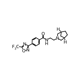 O=C(NCCN1C[C@@H]2CC[C@@H](C2)C1)c1ccc(-c2noc(C(F)(F)F)n2)cc1